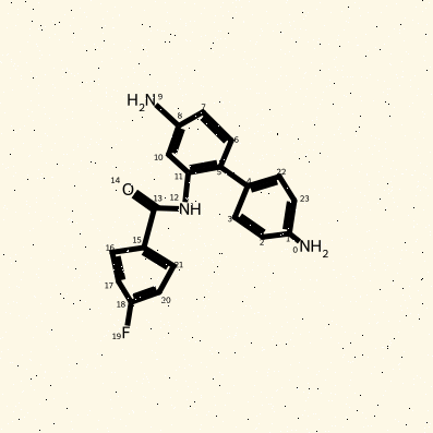 Nc1ccc(-c2ccc(N)cc2NC(=O)c2ccc(F)cc2)cc1